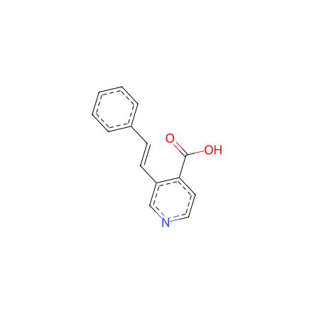 O=C(O)c1ccncc1C=Cc1ccccc1